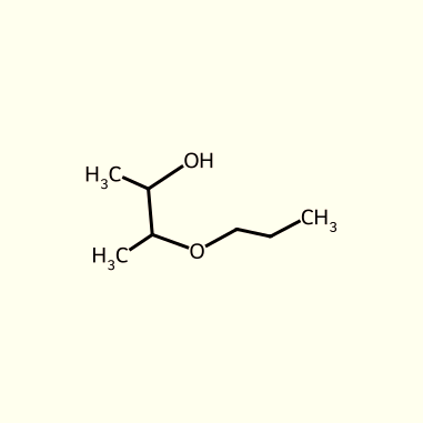 CCCOC(C)C(C)O